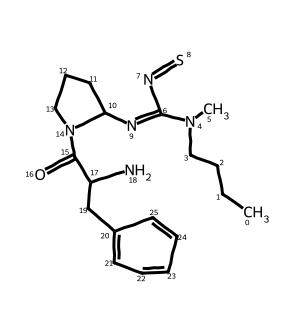 CCCCN(C)C(N=S)=NC1CCCN1C(=O)C(N)Cc1ccccc1